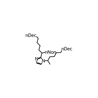 CCCCCCCCCCCCCCC(CCCCCCCCC)c1nccn1C(C)CCCCCCCCCCCCCC